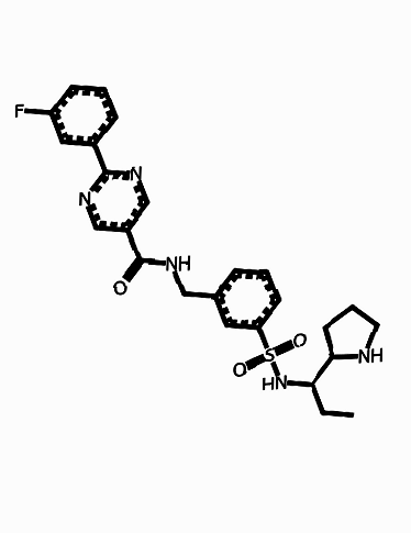 CCC(NS(=O)(=O)c1cccc(CNC(=O)c2cnc(-c3cccc(F)c3)nc2)c1)C1CCCN1